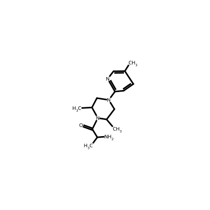 Cc1ccc(N2CC(C)N(C(=O)C(C)N)C(C)C2)nc1